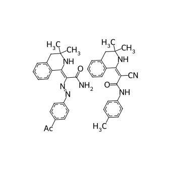 CC(=O)c1ccc(N=NC(C(N)=O)=C2NC(C)(C)Cc3ccccc32)cc1.Cc1ccc(NC(=O)C(C#N)=C2NC(C)(C)Cc3ccccc32)cc1